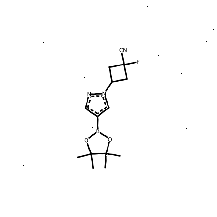 CC1(C)OB(c2cnn(C3CC(F)(C#N)C3)c2)OC1(C)C